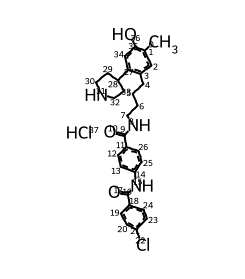 Cc1cc(CCCCNC(=O)c2ccc(NC(=O)c3ccc(Cl)cc3)cc2)c(C2CCNCC2)cc1O.Cl